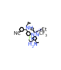 C=C(N)c1cc(N(C)/C(=C\C(=C\CC)C(F)(F)F)C(Nc2cc(C(NCC3CC3)c3cccc(C#N)c3)ccc2F)=C2CCC2)ccc1/C=C\C